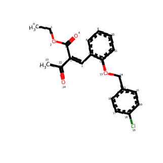 CCOC(=O)C(=Cc1ccccc1OCc1ccc(Cl)cc1)C(C)=O